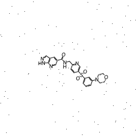 O=C(NCc1ccc(S(=O)(=O)c2cccc(N3CCOCC3)c2)cn1)c1cnc2[nH]ncc2c1